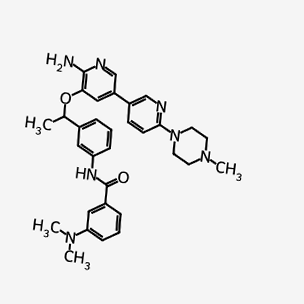 CC(Oc1cc(-c2ccc(N3CCN(C)CC3)nc2)cnc1N)c1cccc(NC(=O)c2cccc(N(C)C)c2)c1